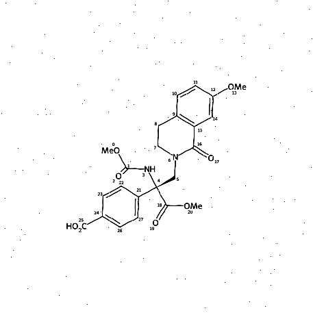 COC(=O)N[C@](CN1CCc2ccc(OC)cc2C1=O)(C(=O)OC)c1ccc(C(=O)O)cc1